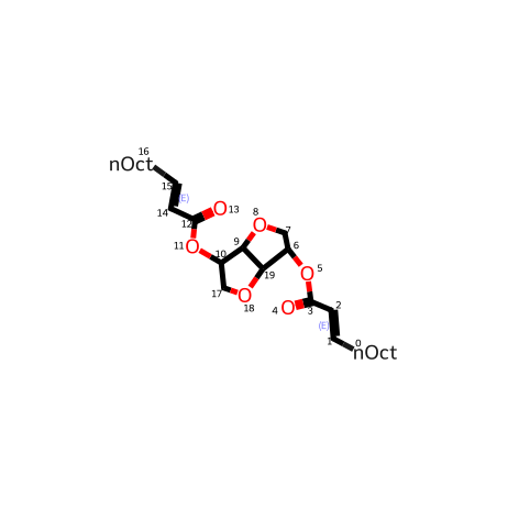 CCCCCCCC/C=C/C(=O)OC1COC2C(OC(=O)/C=C/CCCCCCCC)COC12